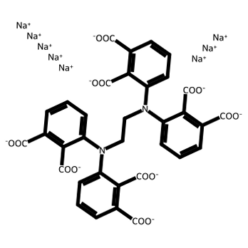 O=C([O-])c1cccc(N(CCN(c2cccc(C(=O)[O-])c2C(=O)[O-])c2cccc(C(=O)[O-])c2C(=O)[O-])c2cccc(C(=O)[O-])c2C(=O)[O-])c1C(=O)[O-].[Na+].[Na+].[Na+].[Na+].[Na+].[Na+].[Na+].[Na+]